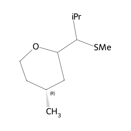 CSC(C(C)C)C1C[C@H](C)CCO1